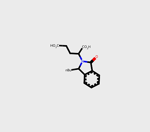 CCCCC1c2ccccc2C(=O)N1C(CCC(=O)O)C(=O)O